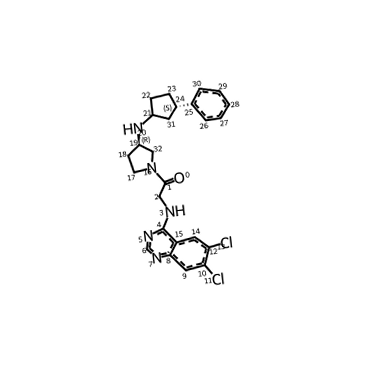 O=C(CNc1ncnc2cc(Cl)c(Cl)cc12)N1CC[C@@H](NC2CC[C@H](c3ccccc3)C2)C1